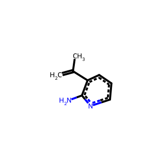 C=C(C)c1cccnc1N